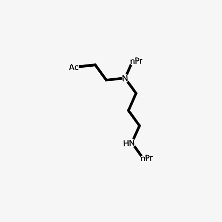 CCCNCCCN(CCC)CCC(C)=O